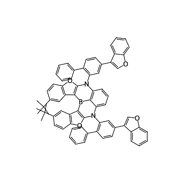 CC(C)(C)c1ccc2oc3c(c2c1)B1c2c(cccc2N(c2cc(-c4coc5ccccc45)ccc2-c2ccccc2)c2oc4ccc(C(C)(C)C)cc4c21)N3c1cc(-c2coc3ccccc23)ccc1-c1ccccc1